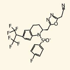 N#CCc1nnc(C[C@@H]2CCc3cc(C(C(F)(F)F)C(F)(F)F)ccc3N2[S+]([O-])c2ccc(F)cc2)o1